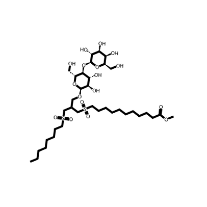 CCCCCCCCS(=O)(=O)CC(CO[C@H]1O[C@H](CO)[C@@H](O[C@@H]2O[C@H](CO)[C@H](O)[C@H](O)[C@H]2O)[C@H](O)[C@H]1O)CS(=O)(=O)CCCCCCCCCCC(=O)OC